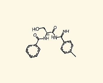 Cc1ccc(C(=N)NC(=O)[C@H](CO)NC(=O)c2ccccc2)cc1